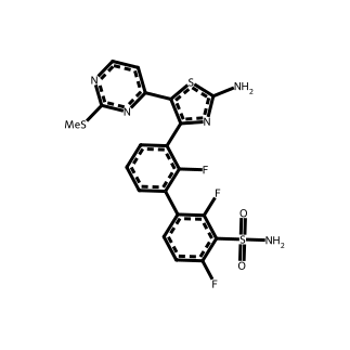 CSc1nccc(-c2sc(N)nc2-c2cccc(-c3ccc(F)c(S(N)(=O)=O)c3F)c2F)n1